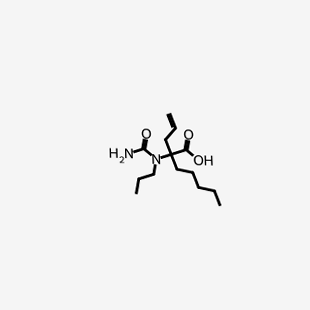 C=CCC(CCCCC)(C(=O)O)N(CCC)C(N)=O